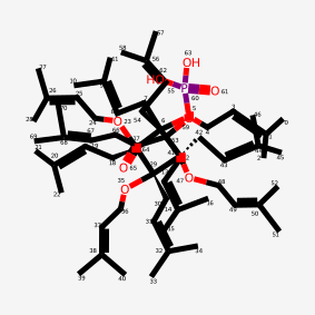 CC(C)=CCOC(CC=C(C)C)(CC=C(C)C)[C@@](CC=C(C)C)(OCC=C(C)C)[C@@](CC=C(C)C)(OCC=C(C)C)[C@](CC=C(C)C)(OCC=C(C)C)[C@@](CC=C(C)C)(OP(=O)(O)O)C(=O)CC=C(C)C